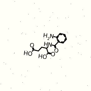 Nc1ccccc1C(=O)NC(CCC(=O)O)C(=O)O